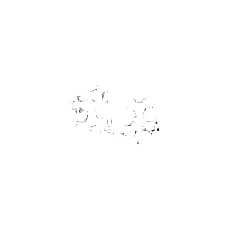 Fc1cc(OBOc2ccc(-n3nnnc3-c3ccccc3)c(F)c2)ccc1-n1nnnc1-c1ccccc1